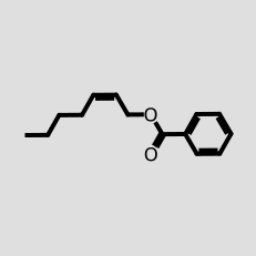 CCCC/C=C\COC(=O)c1ccccc1